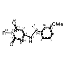 COc1cccc([C@@H](C)Nc2cc(=O)n(C(C)C)c(=O)[nH]2)c1